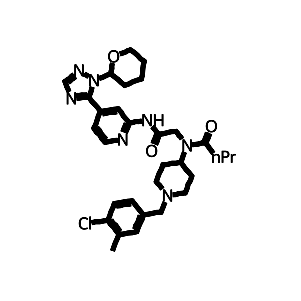 CCCC(=O)N(CC(=O)Nc1cc(-c2ncnn2C2CCCCO2)ccn1)C1CCN(Cc2ccc(Cl)c(C)c2)CC1